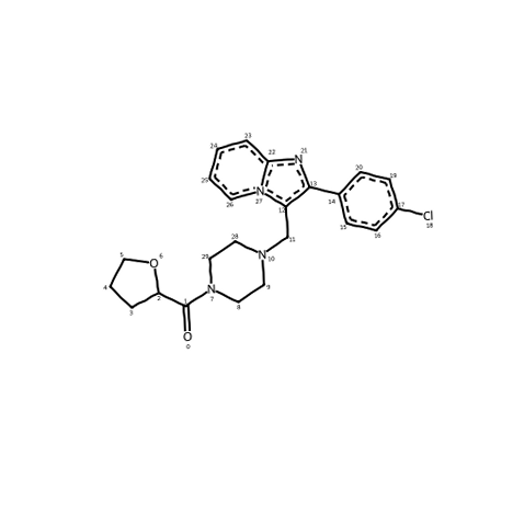 O=C(C1CCCO1)N1CCN(Cc2c(-c3ccc(Cl)cc3)nc3ccccn23)CC1